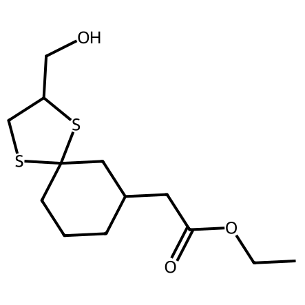 CCOC(=O)CC1CCCC2(C1)SCC(CO)S2